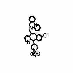 CS(=O)(=O)N1CCC(C2c3ccc(Cl)cc3C=C(CN(Cc3ccccc3)c3ccccn3)c3cccnc32)CC1